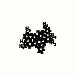 Cc1cccc(N(c2cccc(C3(c4cccc(N(c5cccc(C)c5C)c5cccc(C)c5C)c4)c4ccccc4N(c4ccccc4)c4ccccc43)c2)c2cccc(C)c2C)c1C